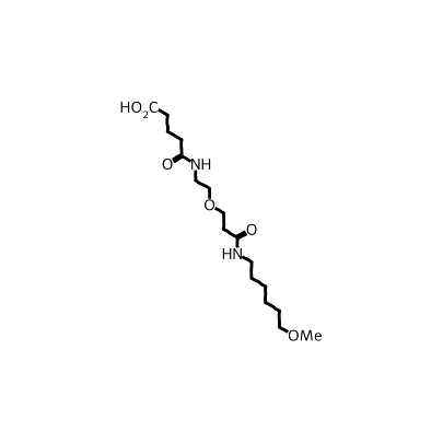 COCCCCCCNC(=O)CCOCCNC(=O)CCCC(=O)O